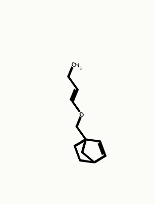 CCC=COCC12C=CC(CC1)C2